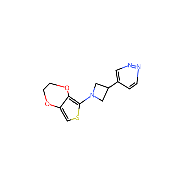 c1cc(C2CN(c3scc4c3OCCO4)C2)cnn1